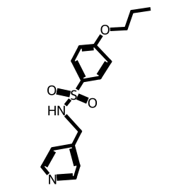 CCCOc1ccc(S(=O)(=O)NCc2ccncc2)cc1